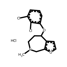 CN1CCC(Oc2cccc(Cl)c2Cl)c2ccoc2C1.Cl